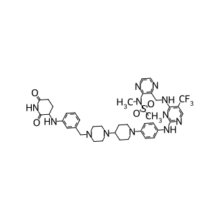 CN(c1nccnc1CNc1nc(Nc2ccc(N3CCC(N4CCN(Cc5cccc(NC6CCC(=O)NC6=O)c5)CC4)CC3)cc2)ncc1C(F)(F)F)S(C)(=O)=O